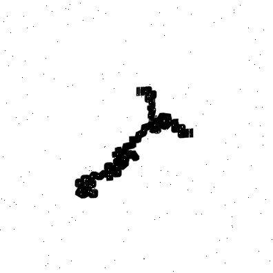 CC[N+]1=C(/C=C/C=C/C=C/C=C2/N(CCCSOOO)c3ccc(SOOO)cc3C2(C)C)C(C)(C)c2cc(S(=O)(=O)N(C)CCCC(=O)ON3C(=O)CCC3=O)ccc21